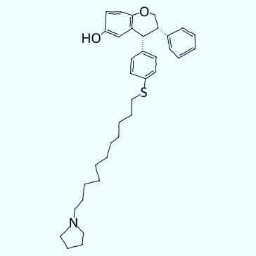 Oc1ccc2c(c1)[C@@H](c1ccc(SCCCCCCCCCCCN3CCCC3)cc1)[C@@H](c1ccccc1)CO2